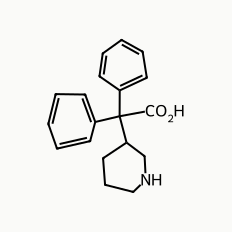 O=C(O)C(c1ccccc1)(c1ccccc1)C1CCCNC1